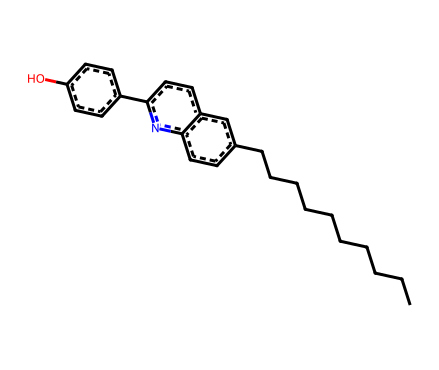 CCCCCCCCCCc1ccc2nc(-c3ccc(O)cc3)ccc2c1